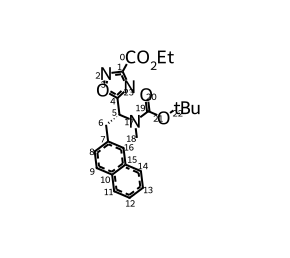 CCOC(=O)c1noc([C@@H](Cc2ccc3ccccc3c2)N(C)C(=O)OC(C)(C)C)n1